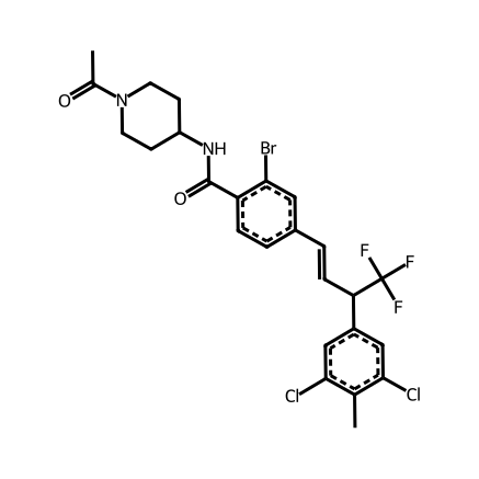 CC(=O)N1CCC(NC(=O)c2ccc(/C=C/C(c3cc(Cl)c(C)c(Cl)c3)C(F)(F)F)cc2Br)CC1